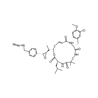 COc1ccc(C[C@H]2NC(=O)/C=C/C[C@@H](C(C)[C@H]3O[C@@H]3c3ccc(CN=[N+]=[N-])cc3)OC(=O)[C@H](CC(C)C)NC(=O)C(C)(C)CNC2=O)cc1Cl